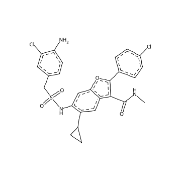 CNC(=O)c1c(-c2ccc(Cl)cc2)oc2cc(NS(=O)(=O)Cc3ccc(N)c(Cl)c3)c(C3CC3)cc12